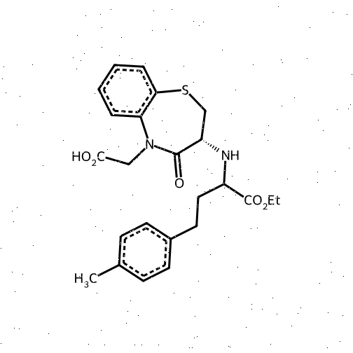 CCOC(=O)C(CCc1ccc(C)cc1)N[C@H]1CSc2ccccc2N(CC(=O)O)C1=O